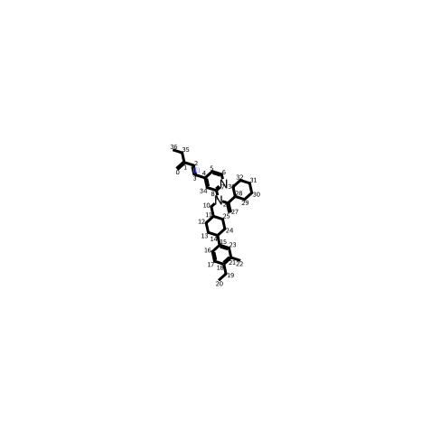 C=C(/C=C/c1ccnc(N(CC2CCC(c3ccc(CC)c(C)c3)CC2)C(=C)C2CCCCC2)c1)CC